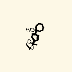 CC1(c2ccc(C3(O)CCCCCC3)cc2)OCCO1